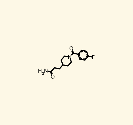 NC(=O)CCC1CCN(C(=O)c2ccc(F)cc2)CC1